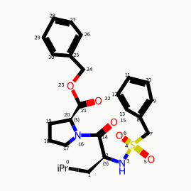 CC(C)C[C@H](NS(=O)(=O)Cc1ccccc1)C(=O)N1CCC[C@H]1C(=O)OCc1ccccc1